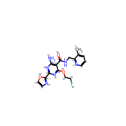 Cc1cccnc1CNC(=O)c1c(N)nc(-c2ncco2)nc1OCCF